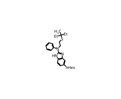 CCCCCCc1ccc2[nH]c(N(CCSC(C)(CC)CC)c3ccccc3)nc2c1